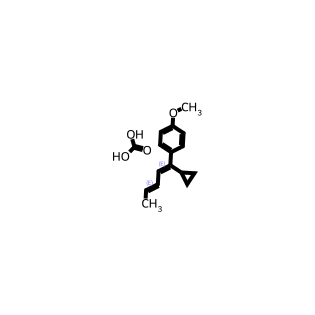 C/C=C/C=C(/c1ccc(OC)cc1)C1CC1.O=C(O)O